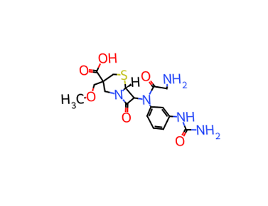 COCC1(C(=O)O)CS[C@@H]2C(N(C(=O)CN)c3cccc(NC(N)=O)c3)C(=O)N2C1